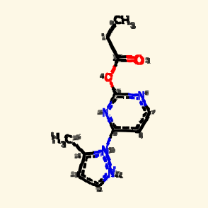 CCC(=O)Oc1nccc(-n2nccc2C)n1